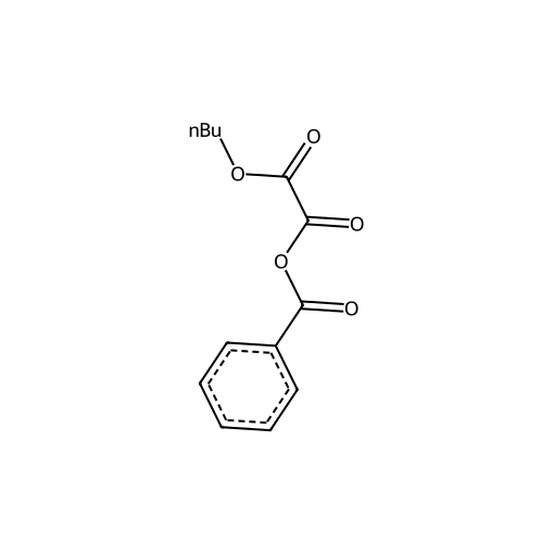 CCCCOC(=O)C(=O)OC(=O)c1ccccc1